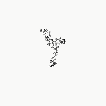 Cl.Cn1c(N2CCC(N)CC2)nc(-c2ccc(C#N)cc2)c(-c2ccc(OCCCCC(=O)NO)cc2)c1=O